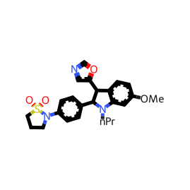 CCCN1c2cc(OC)ccc2C(c2cnco2)C1c1ccc(N2CCCS2(=O)=O)cc1